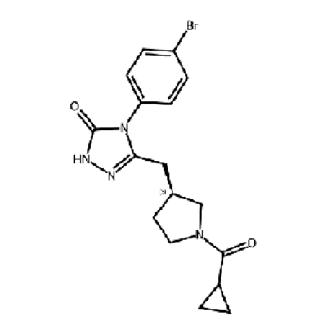 O=C(C1CC1)N1CC[C@@H](Cc2n[nH]c(=O)n2-c2ccc(Br)cc2)C1